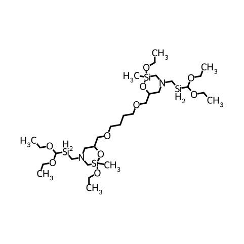 CCOC(OCC)[SiH2]CN1CC(COCCCCOCC2CN(C[SiH2]C(OCC)OCC)C[Si](C)(OCC)O2)O[Si](C)(OCC)C1